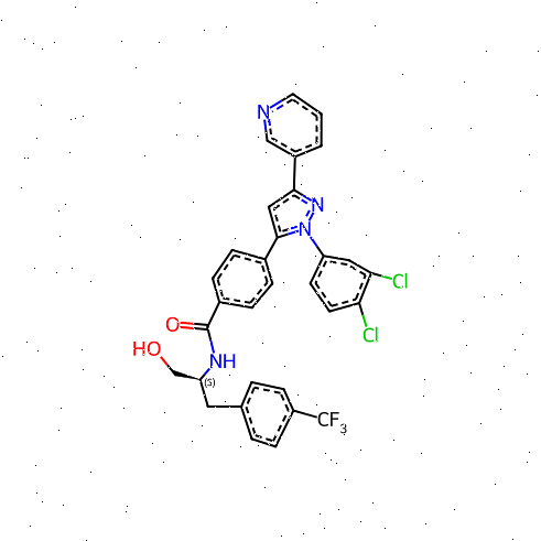 O=C(N[C@H](CO)Cc1ccc(C(F)(F)F)cc1)c1ccc(-c2cc(-c3cccnc3)nn2-c2ccc(Cl)c(Cl)c2)cc1